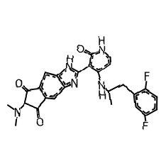 CC(Cc1cc(F)ccc1F)Nc1cc[nH]c(=O)c1-c1nc2cc3c(cc2[nH]1)C(=O)C(N(C)C)C3=O